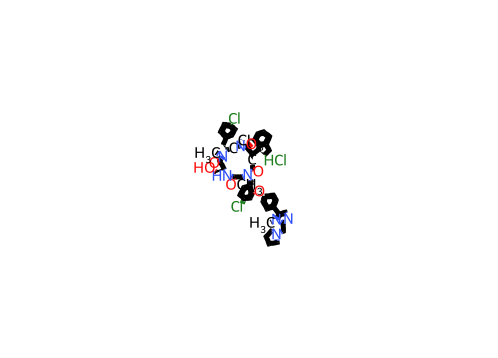 C[C@H]1C(=O)N[C@@H](CO)C(=O)N(C)[C@H](Cc2ccc(Cl)cc2)CN(C)C(=O)[C@H]([C@H]2CCc3ccccc32)CC(=O)N1Cc1ccc(Cl)cc1Oc1ccc(-c2cnc(CN3CCCC3)n2C)cc1.Cl